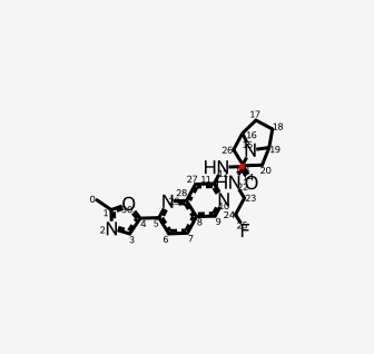 Cc1ncc(-c2ccc3cnc(NC(=O)N4C5CCC4CC(NCCF)C5)cc3n2)o1